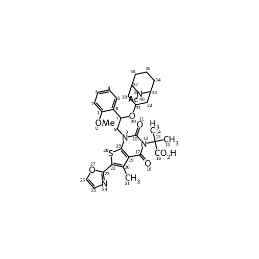 COc1ccccc1C(Cn1c(=O)n(C(C)(C)C(=O)O)c(=O)c2c(C)c(-c3ncco3)sc21)OC1CC2CCCC(C1)N2C(C)=O